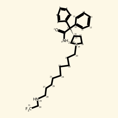 NC(=O)C(c1ccccc1)(c1ccccc1)[C@@H]1CCN(CCCCCCCCCNCC(F)(F)F)C1